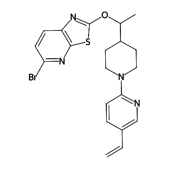 C=Cc1ccc(N2CCC(C(C)Oc3nc4ccc(Br)nc4s3)CC2)nc1